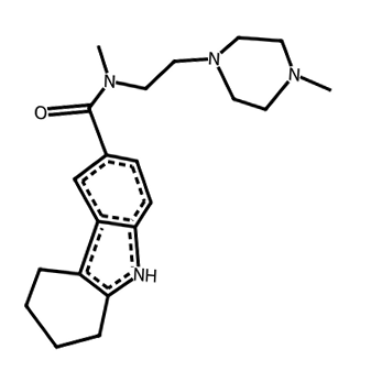 CN1CCN(CCN(C)C(=O)c2ccc3[nH]c4c(c3c2)CCCC4)CC1